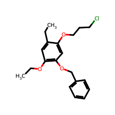 CCOc1cc(CC)c(OCCCCl)cc1OCc1ccccc1